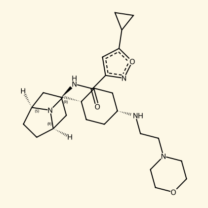 O=C(N[C@H]1C[C@H]2CC[C@@H](C1)N2C[C@H]1CC[C@@H](NCCN2CCOCC2)CC1)c1cc(C2CC2)on1